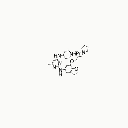 Cc1cc(NC2CCN(C(C)C)CC2)nc(Nc2cc3c(c(OCCCN4CCCC4)c2)OCC3)n1